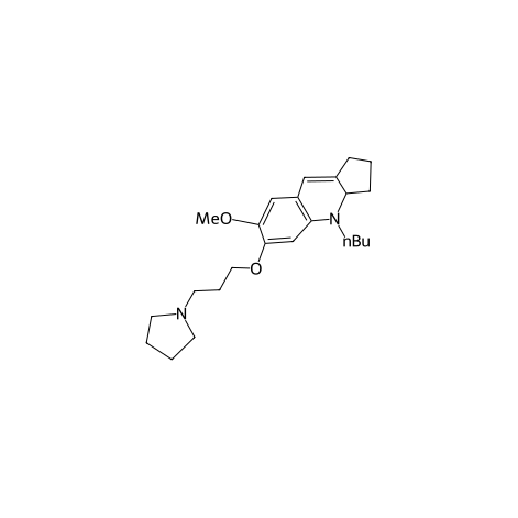 CCCCN1c2cc(OCCCN3CCCC3)c(OC)cc2C=C2CCCC21